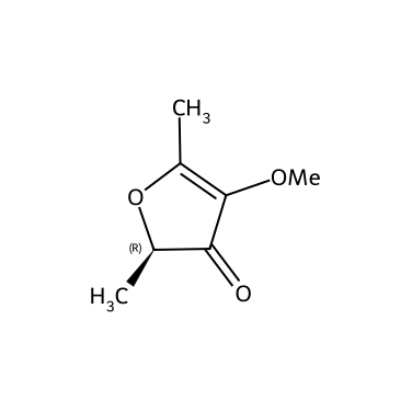 COC1=C(C)O[C@H](C)C1=O